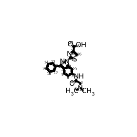 CN(C)CC(=O)Nc1ccc2c(-c3ccccc3)nn(-c3nc(C(=O)O)cs3)c2c1